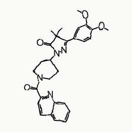 COc1ccc(C2=NN(C3CCN(C(=O)c4ccc5ccccc5n4)CC3)C(=O)C2(C)C)cc1OC